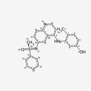 Cc1ccc(O)cc1Nc1ccnc2ccc(N=[S@@](C)(=O)c3ccccc3)cc12